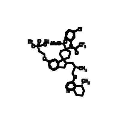 CCOP(=O)(CCOc1ccc2c(c1)C1(CCC(C(=O)OC)(N(C(=O)C(F)(F)F)c3cccc(Cl)c3)CC1)[C@@H](C[C@@H](C)COc1ccnc3c1[C@H](C)CCC3)C2)OCC